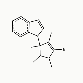 CC1=[C]([Ti])C(C)C(C)C1(C)C1C=Cc2ccccc21